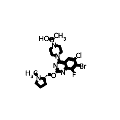 CB(O)N1CCN(c2nc(OC[C@@H]3CCCN3C)nc3c(F)c(Br)c(Cl)cc23)CC1